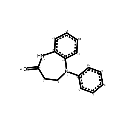 O=C1CCN(c2ccccc2)c2ccccc2N1